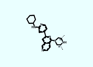 C[C@@H]1CN(c2nc(-c3ccnc(NC4CCCCC4)c3)cc3cnccc23)C[C@H](C)N1